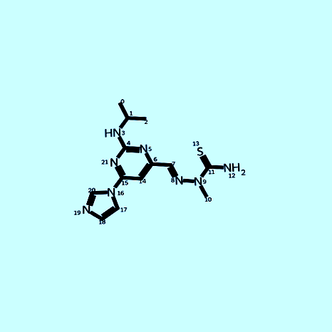 CC(C)Nc1nc(/C=N/N(C)C(N)=S)cc(-n2ccnc2)n1